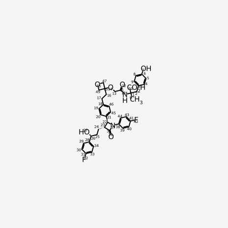 CC(Cc1ccc(O)cc1)(NC(=O)COC1(CCc2ccc([C@@H]3[C@@H](CC[C@H](O)c4ccc(F)cc4)C(=O)N3c3ccc(F)cc3)cc2)COC1)C(=O)O